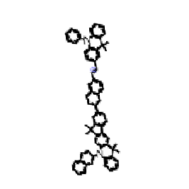 CC1(C)c2cc(-c3ccc4cc(/C=C/c5ccc6c(c5)C(C)(C)c5ccccc5N6c5ccccc5)ccc4c3)ccc2-c2cc3c(cc21)N(c1ccc2ccccc2c1)c1ccccc1C3(C)C